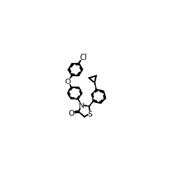 O=C1CSC(c2cccc(C3CC3)c2)N1c1ccc(Oc2ccc(Cl)cc2)cc1